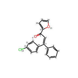 O=C(C=C(c1ccccc1)c1ccc(Cl)cc1)c1ccco1